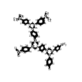 CCN(CC)c1ccc(N2CN(c3ccc(N(CC)CC)cc3)CN(c3ccc(N4CN(c5ccc(N(C)C)cc5)CN(c5ccc(N6CN(c7ccc(C)cc7)CN(c7ccc(N)cc7)C6)cc5)C4)cc3)C2)cc1